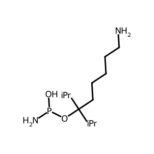 CC(C)C(CCCCCN)(OP(N)O)C(C)C